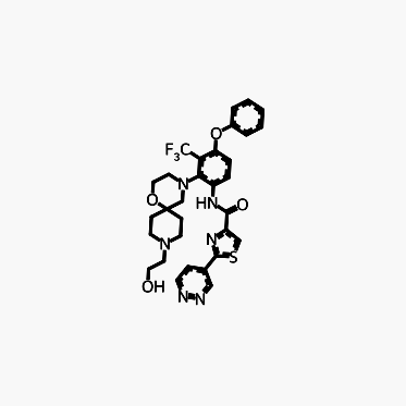 O=C(Nc1ccc(Oc2ccccc2)c(C(F)(F)F)c1N1CCOC2(CCN(CCO)CC2)C1)c1csc(-c2ccnnc2)n1